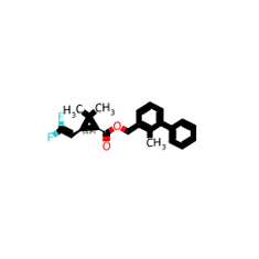 Cc1c(COC(=O)[C@@H]2[C@@H](C=C(F)F)C2(C)C)cccc1-c1ccccc1